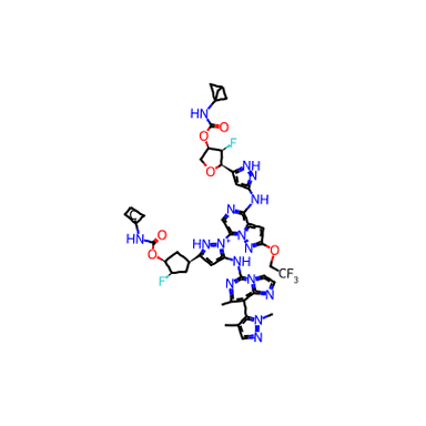 Cc1cnn(C)c1-c1c(C)nc(Nc2cc([C@H]3C[C@@H](F)[C@@H](OC(=O)NC45CC(C4)C5)C3)[nH][n+]2-c2cnc(Nc3cc([C@H]4OC[C@@H](OC(=O)NC56CC(C5)C6)[C@H]4F)[nH]n3)c3cc(OCC(F)(F)F)nn23)n2ccnc12